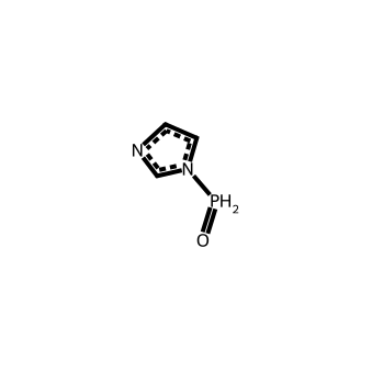 O=[PH2]n1ccnc1